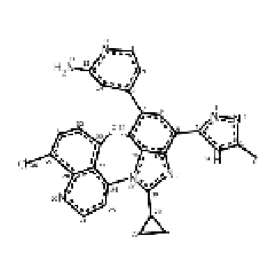 Cc1nnc(-c2cc(-c3ccnc(N)c3)cc3c2nc(C2CC2)n3-c2ccnc3c(Cl)ccc(F)c23)[nH]1